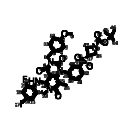 COc1ccc(Cn2c(=O)c3c(Nc4ccc(I)cc4F)n(C)c(=O)c(C)c3n(-c3cccc(S(=O)(=O)C4CN(C(=O)OC(C)(C)C)C4)c3)c2=O)cc1